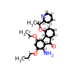 CCCOc1cc(OCC)c2c(c1N)C(=O)c1cccc(OC(C)c3ccccn3)c1-2